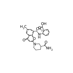 Cc1cc(C(C)Nc2ccccc2C(=O)O)c2oc(N3CCCC(C(N)=O)C3)cc(=O)c2c1